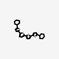 c1cc(-c2ccc(C3CCCCC3)s2)sc1-c1ccc(-c2ccc(C3CCCCC3)s2)s1